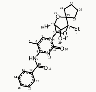 CC[C@]12O[C@@H](n3cc(C)c(NC(=O)c4ccccc4)nc3=O)[C@@H](OC13CCCC3)C2O